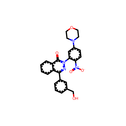 O=c1c2ccccc2c(-c2cccc(CO)c2)nn1-c1cc(N2CCOCC2)ccc1[N+](=O)[O-]